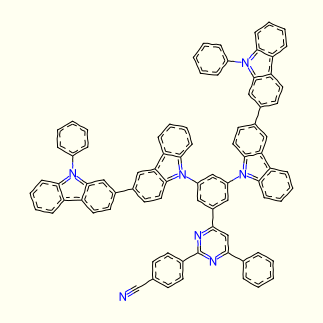 N#Cc1ccc(-c2nc(-c3ccccc3)cc(-c3cc(-n4c5ccccc5c5cc(-c6ccc7c8ccccc8n(-c8ccccc8)c7c6)ccc54)cc(-n4c5ccccc5c5cc(-c6ccc7c8ccccc8n(-c8ccccc8)c7c6)ccc54)c3)n2)cc1